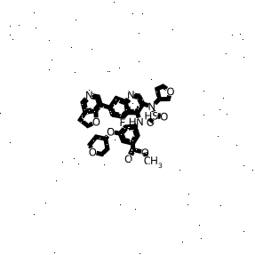 COC(=O)c1cc(Nc2c(N(C3CCOC3)[SH](=O)=O)cnc3cc(-c4cncc5c4OCC5)cc(F)c23)cc(OC2CCOCC2)c1